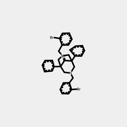 O=C1C2(c3ccccc3)CN(Cc3ccccc3Br)CC1(c1ccccc1)CN(Cc1ccccc1Br)C2